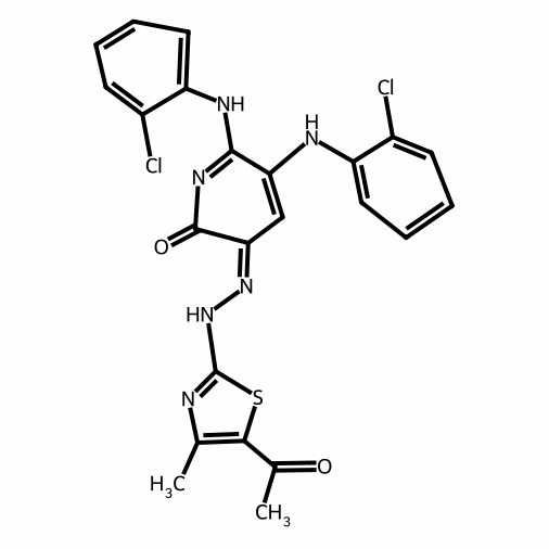 CC(=O)c1sc(NN=C2C=C(Nc3ccccc3Cl)C(Nc3ccccc3Cl)=NC2=O)nc1C